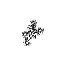 N#Cc1c(-c2ccc3c(c2)sc2ccccc23)c(-c2ccccc2)cc(-c2ccc3c(c2)sc2ccccc23)c1-c1ccc2c(c1)sc1ccccc12